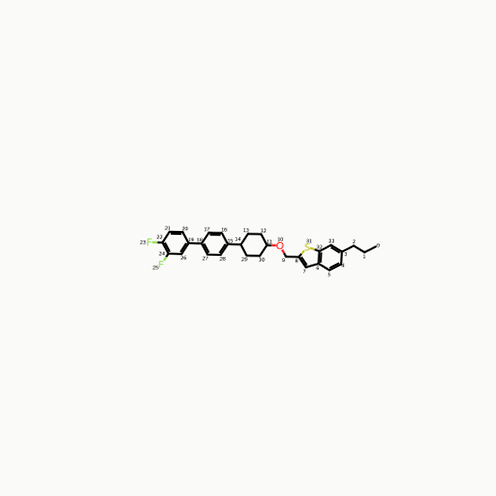 CCCc1ccc2cc(COC3CCC(c4ccc(-c5ccc(F)c(F)c5)cc4)CC3)sc2c1